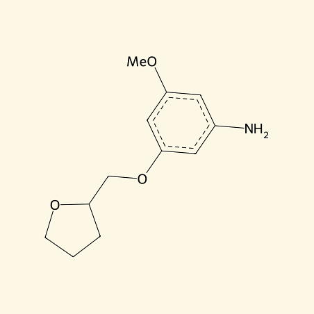 COc1cc(N)cc(OCC2CCCO2)c1